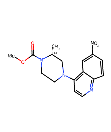 C[C@@H]1CN(c2ccnc3ccc([N+](=O)[O-])cc23)CCN1C(=O)OC(C)(C)C